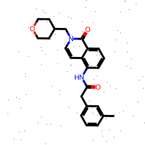 Cc1cccc(CC(=O)Nc2cccc3c(=O)n(CC4CCOCC4)ccc23)c1